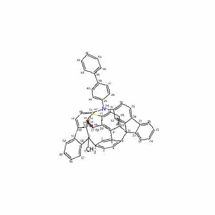 CC12c3ccc4c(c3)-c3c(ccc5sc6ccccc6c35)C43c4ccccc4-c4ccc(cc43)N(c3ccc(-c4ccccc4)cc3)c3ccc(c1c3)-c1ccccc12